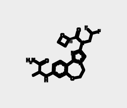 CC(Nc1ccc2c(c1)OCCn1cc(N(CC(F)F)C(=O)[C@H]3CCO3)nc1-2)C(N)=O